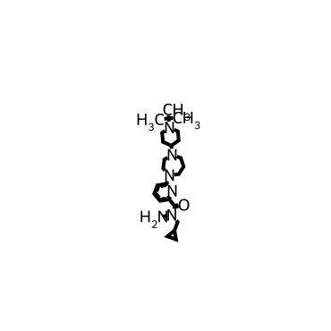 CC(C)(C)N1CCC(N2CCCN(c3cccc(C(=O)N(N)CC4CC4)n3)CC2)CC1